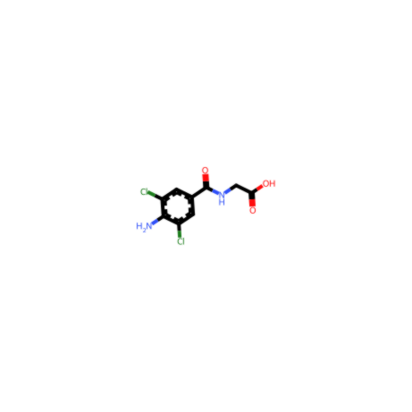 Nc1c(Cl)cc(C(=O)NCC(=O)O)cc1Cl